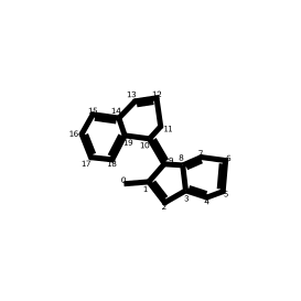 CC1=Cc2ccccc2C1=C1CC=Cc2ccccc21